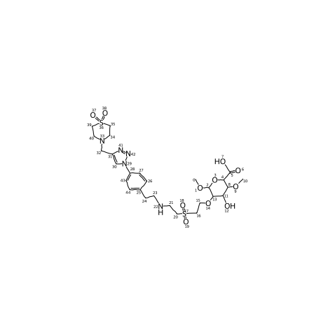 COC1OC(C(=O)O)C(OC)C(O)C1OCCS(=O)(=O)CCNCCc1ccc(-n2cc(CN3CCS(=O)(=O)CC3)nn2)cc1